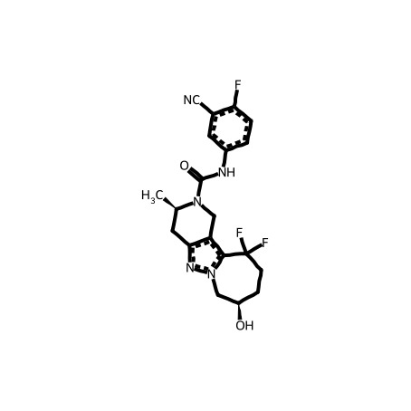 C[C@@H]1Cc2nn3c(c2CN1C(=O)Nc1ccc(F)c(C#N)c1)C(F)(F)CC[C@@H](O)C3